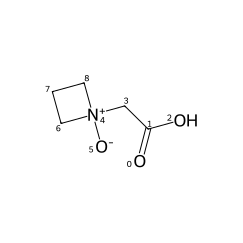 O=C(O)C[N+]1([O-])CCC1